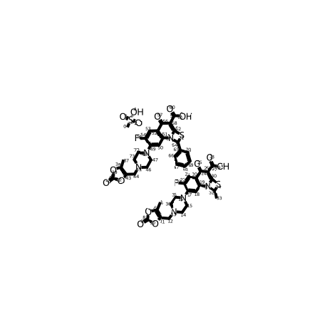 CS(=O)(=O)O.Cc1oc(=O)oc1CN1CCN(c2cc3c(cc2F)c(=O)c(C(=O)O)c2n3C(C)S2)CC1.Cc1oc(=O)oc1CN1CCN(c2cc3c(cc2F)c(=O)c(C(=O)O)c2n3C(c3ccccc3)S2)CC1